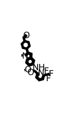 COc1cc2c(cc1NC(=O)c1cccc(C(F)(F)F)n1)cc(C1CCC(C=O)CC1)n2C